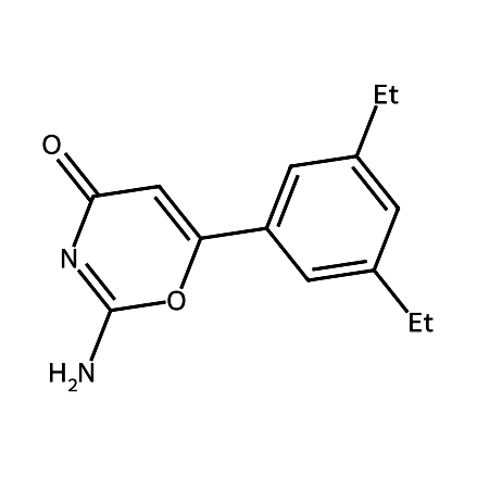 CCc1cc(CC)cc(-c2cc(=O)nc(N)o2)c1